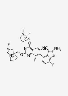 C[C@H]1NCC[C@H]1Oc1nc(OC[C@@]23CCCN2C[C@H](F)C3)nc2c(F)c(-c3ccc(F)c4sc(N)c(C#N)c34)c(C(F)(F)F)cc12